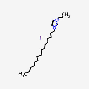 C=CC[n+]1ccn(CCCCCCCCCCCCCCCC)c1.[I-]